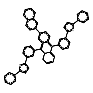 C1=CCC2C(=C1)C(c1cccc(-c3ccc(-c4ccccc4)s3)c1)=c1ccc(-c3ccc4ccccc4c3)cc1=C2c1cccc(-c2ccc(-c3ccccc3)s2)c1